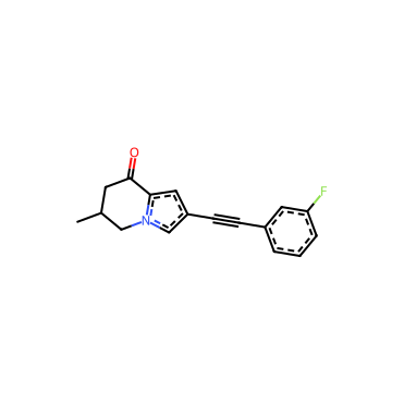 CC1CC(=O)c2cc(C#Cc3cccc(F)c3)cn2C1